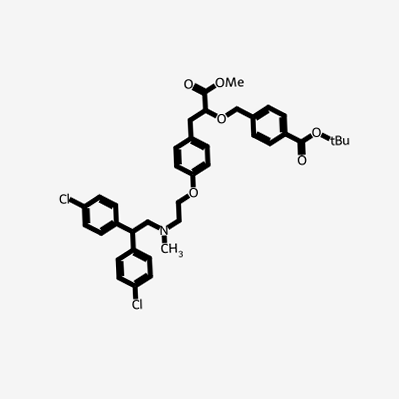 COC(=O)C(Cc1ccc(OCCN(C)CC(c2ccc(Cl)cc2)c2ccc(Cl)cc2)cc1)OCc1ccc(C(=O)OC(C)(C)C)cc1